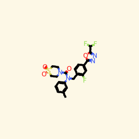 Cc1cccc(N(Cc2ccc(-c3nnc(C(F)F)o3)cc2F)C(=O)N2CCS(=O)(=O)CC2)c1